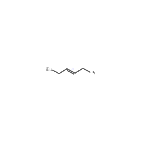 CCC(C)C/C=C/CC(C)C